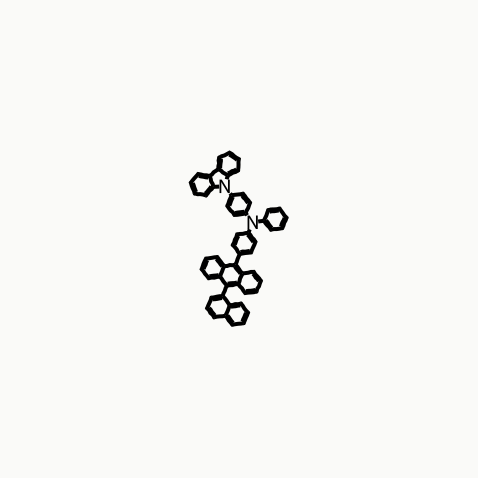 c1ccc(N(c2ccc(-c3c4ccccc4c(-c4cccc5ccccc45)c4ccccc34)cc2)c2ccc(-n3c4ccccc4c4ccccc43)cc2)cc1